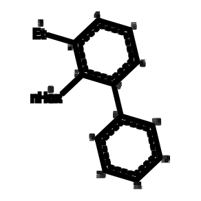 CCCCCCc1c(CC)cccc1-c1ccccc1